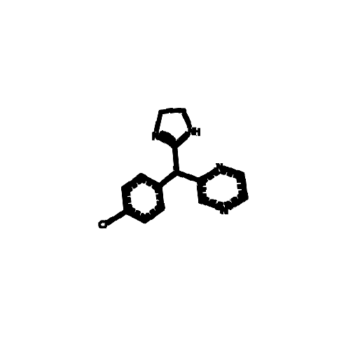 Clc1ccc(C(C2=NCCN2)c2cnccn2)cc1